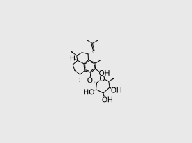 CC(C)=C[C@H]1C[C@H](C)[C@H]2CC[C@@H](C)c3c(O[C@@H]4O[C@@H](C)[C@@H](O)[C@@H](O)[C@@H]4O)c(O)c(C)c1c32